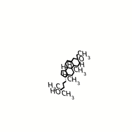 CC[C@@]1(O)CC[C@@]2(C)C(=CC[C@H]3[C@@H]4CC[C@@H](CCCC(C)(C)O)[C@@]4(C)CC[C@@H]32)C1